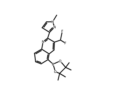 Cn1ccc(-c2nc3cccc(B4OC(C)(C)C(C)(C)O4)c3cc2C(F)F)n1